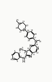 CC(C)n1c(Nc2cccnc2)nc2cnc(N(C)c3ccc(N4CCN(C)CC4)cc3)nc21